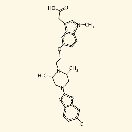 C[C@@H]1CN(c2nc3ccc(Cl)cc3s2)C[C@H](C)N1CCOc1ccc2c(c1)c(CC(=O)O)cn2C